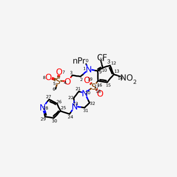 CCCN(CCOS(C)(=O)=O)c1c(C(F)(F)F)cc([N+](=O)[O-])cc1S(=O)(=O)N1CCN(Cc2ccncc2)CC1